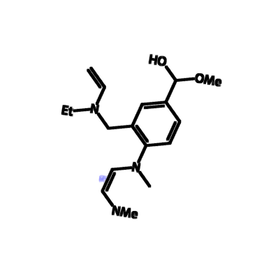 C=CN(CC)Cc1cc(C(O)OC)ccc1N(C)/C=C\NC